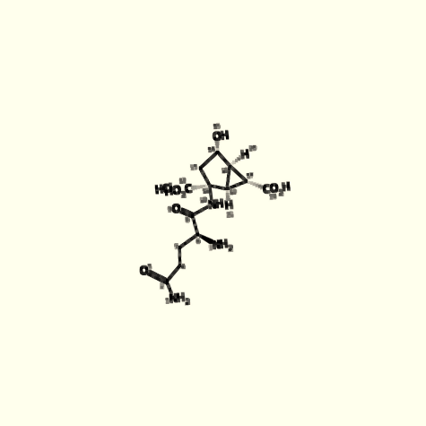 Cl.NC(=O)CC[C@H](N)C(=O)N[C@@]1(C(=O)O)C[C@H](O)[C@H]2[C@H](C(=O)O)[C@H]21